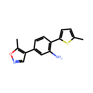 Cc1ccc(-c2ccc(-c3cnoc3C)cc2N)s1